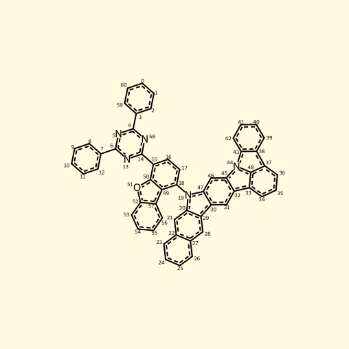 c1ccc(-c2nc(-c3ccccc3)nc(-c3ccc(-n4c5cc6ccccc6cc5c5cc6c7cccc8c9ccccc9n(c6cc54)c87)c4c3oc3ccccc34)n2)cc1